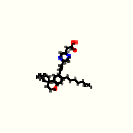 CCCCCCc1cc2c(cc1C#Cc1cnc(CC(=O)O)cn1)C(CC)(CC)CCO2